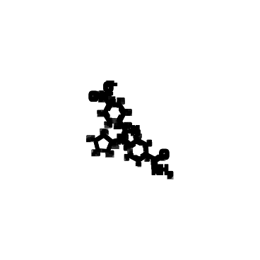 NC(=O)c1ccc2c(c1)nc(-c1ccc([N+](=O)[O-])cc1)n2C1CCCC1